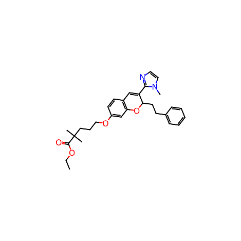 CCOC(=O)C(C)(C)CCCOc1ccc2c(c1)OC(CCc1ccccc1)C(c1nccn1C)=C2